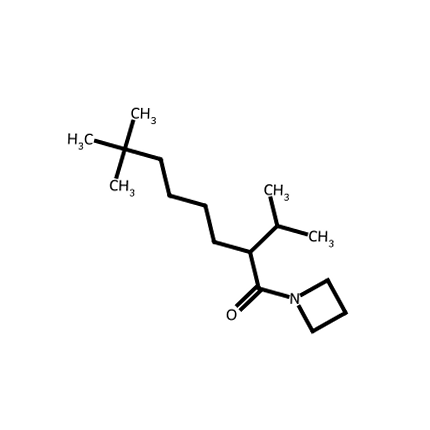 CC(C)C(CCCCC(C)(C)C)C(=O)N1CCC1